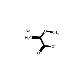 C=C(OC)C(=O)[O-].[Na+]